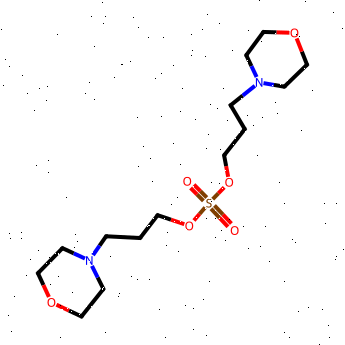 O=S(=O)(OCCCN1CCOCC1)OCCCN1CCOCC1